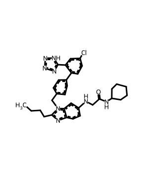 CCCCc1nc2ccc(NCC(=O)NC3CCCCC3)cc2n1Cc1ccc(-c2ccc(Cl)cc2-c2nnn[nH]2)cc1